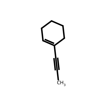 CC#CC1=CCCCC1